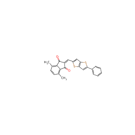 Cc1ccc(C)c2c1C(=O)C(=Cc1cc3sc(-c4ccccc4)cc3s1)C2=O